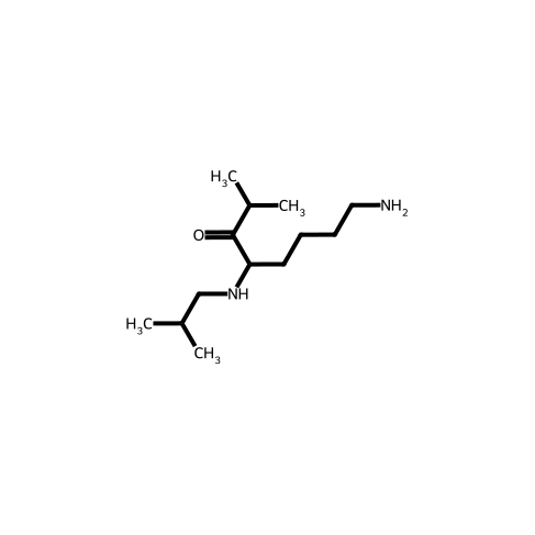 CC(C)CNC(CCCCN)C(=O)C(C)C